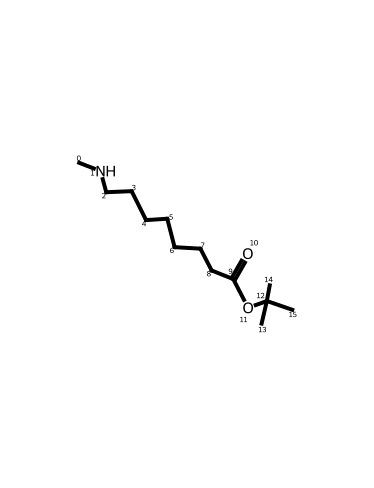 CNCCCCCCCC(=O)OC(C)(C)C